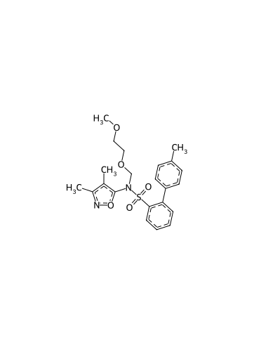 COCCOCN(c1onc(C)c1C)S(=O)(=O)c1ccccc1-c1ccc(C)cc1